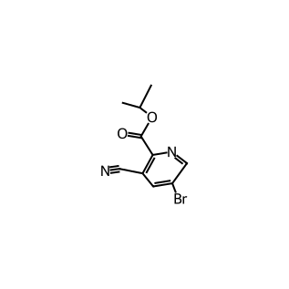 CC(C)OC(=O)c1ncc(Br)cc1C#N